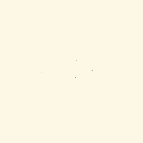 COc1cc(C=C[N+](=O)[O-])ccc1O[C@@H]1O[C@H](COC(C)=O)[C@@H](OC(C)=O)[C@H](OC(C)=O)[C@H]1OC(C)=O